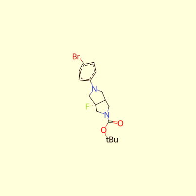 CC(C)(C)OC(=O)N1CC2CN(c3ccc(Br)cc3)C[C@]2(F)C1